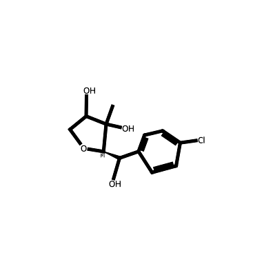 CC1(O)C(O)CO[C@@H]1C(O)c1ccc(Cl)cc1